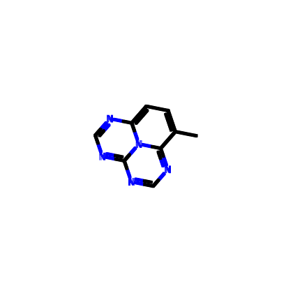 CC1=CC=C2N=CN=C3N=CN=C1N23